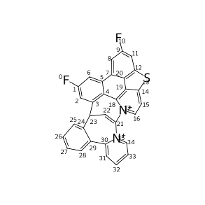 Fc1cc2c3c(c1)c1cc(F)cc4sc5cc[n+](c3c5c41)C1=CC2c2ccccc2-c2cccc[n+]21